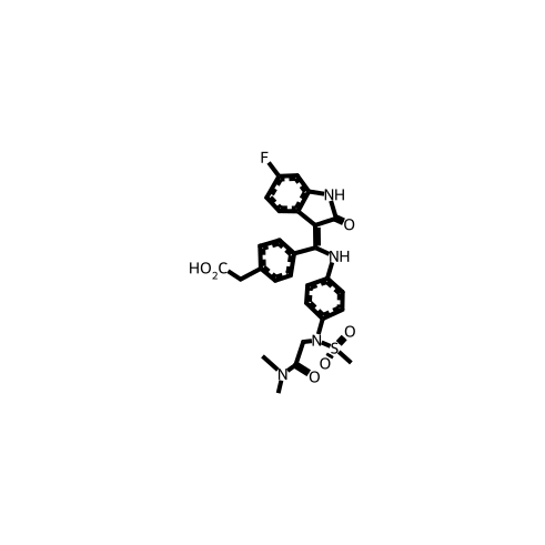 CN(C)C(=O)CN(c1ccc(N/C(=C2\C(=O)Nc3cc(F)ccc32)c2ccc(CC(=O)O)cc2)cc1)S(C)(=O)=O